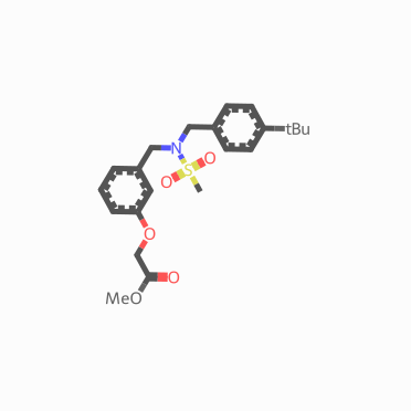 COC(=O)COc1cccc(CN(Cc2ccc(C(C)(C)C)cc2)S(C)(=O)=O)c1